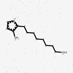 CCCCCCCCCCCCCCCCc1sccc1[SiH3]